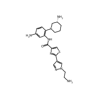 NCCn1cc(-c2nc(C(=O)Nc3cc(N)ccc3N3CCC[C@@H](N)C3)cs2)cn1